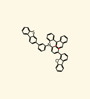 c1cc(-c2ccc3c(c2)sc2ccccc23)cc(N(c2ccc(-c3cccc4c3oc3ccccc34)cc2)c2ccccc2-c2cccc3ccccc23)c1